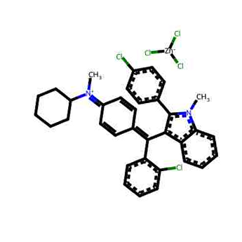 Cn1c(-c2ccc(Cl)cc2)c(C(=C2C=CC(=[N+](C)C3CCCCC3)C=C2)c2ccccc2Cl)c2ccccc21.[Cl][Zn-]([Cl])[Cl]